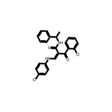 CC(NC(=O)C(=CNc1ccc(Cl)cc1)C(=O)c1ccccc1Cl)c1ccccc1